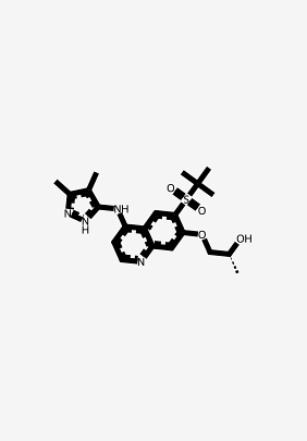 Cc1n[nH]c(Nc2ccnc3cc(OC[C@@H](C)O)c(S(=O)(=O)C(C)(C)C)cc23)c1C